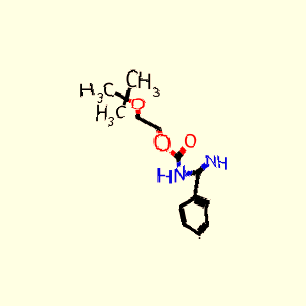 CC(C)(C)OCCOC(=O)NC(=N)c1cc[c]cc1